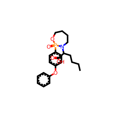 CCCCC(C(=O)O)N1CCCCOP1(=O)c1ccc(Oc2ccccc2)cc1